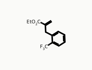 C=C(Cc1ccccc1C(F)(F)F)C(=O)OCC